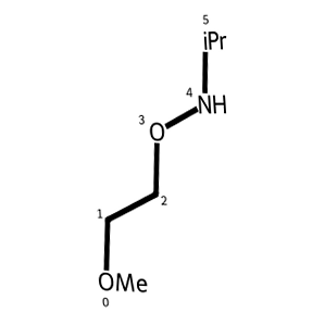 COCCONC(C)C